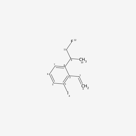 C=Cc1c(I)cccc1[C](C)CF